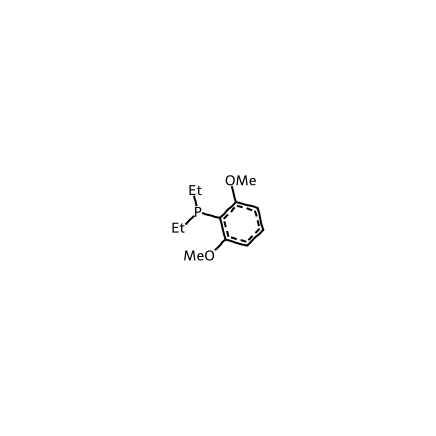 CCP(CC)c1c(OC)cccc1OC